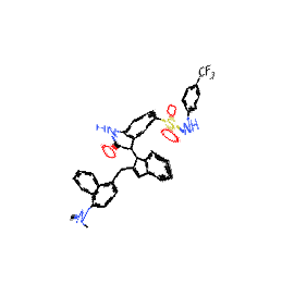 CN(C)c1ccc(CC2=Cc3ccccc3C2C2C(=O)Nc3ccc(S(=O)(=O)Nc4ccc(C(F)(F)F)cc4)cc32)c2ccccc12